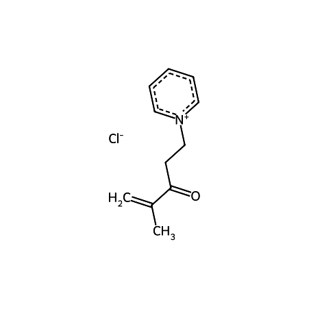 C=C(C)C(=O)CC[n+]1ccccc1.[Cl-]